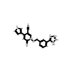 N#Cc1cn(SCc2cccc(-c3nnn[nH]3)c2)c(=O)cc1-c1ccsc1